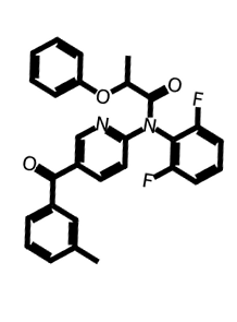 Cc1cccc(C(=O)c2ccc(N(C(=O)C(C)Oc3ccccc3)c3c(F)cccc3F)nc2)c1